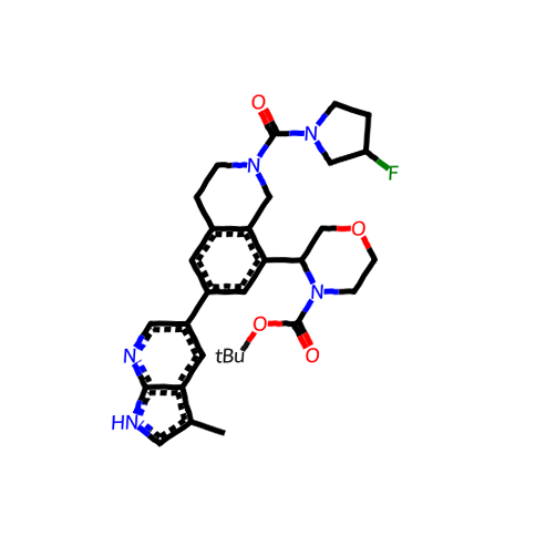 Cc1c[nH]c2ncc(-c3cc4c(c(C5COCCN5C(=O)OC(C)(C)C)c3)CN(C(=O)N3CCC(F)C3)CC4)cc12